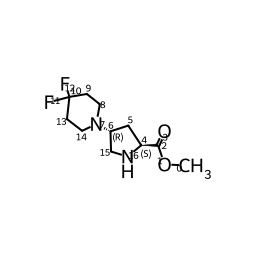 COC(=O)[C@@H]1C[C@@H](N2CCC(F)(F)CC2)CN1